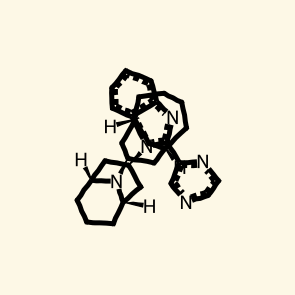 c1ccc2c(c1)nc(-c1cnccn1)n2[C@@H]1C[C@H]2CCC[C@@H](C1)N2[C@H]1C[C@@H]2CCCC[C@@H](C2)C1